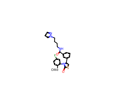 COc1ccc(F)cc1-n1c(-c2cccc(C(=O)NCCCCn3cccn3)c2)csc1=O